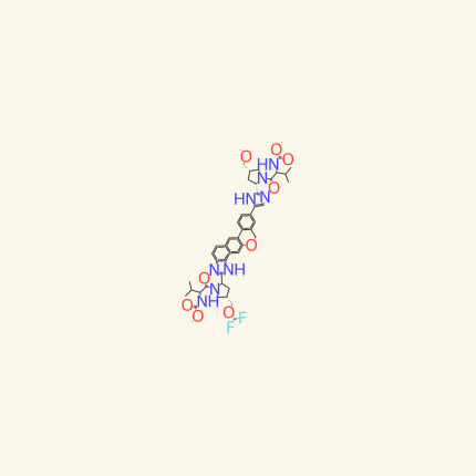 COC[C@H]1C[C@@H](c2ncc(-c3ccc4c(c3)COc3cc5c(ccc6nc(C7C[C@H](COC(F)F)CN7C(=O)[C@@H](NC(=O)OC)C(C)C)[nH]c65)cc3-4)[nH]2)N(C(=O)C(NC(=O)OC)C(C)C)C1